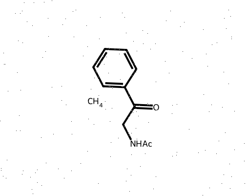 C.CC(=O)NCC(=O)c1ccccc1